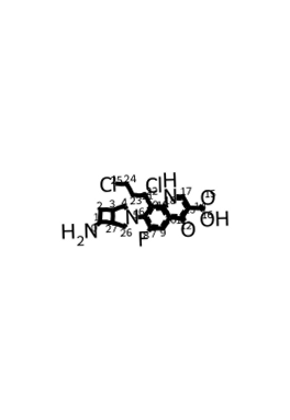 NC1CC2CN(c3c(F)cc4c(=O)c(C(=O)O)c[nH]c4c3C(Cl)CCCl)CC12